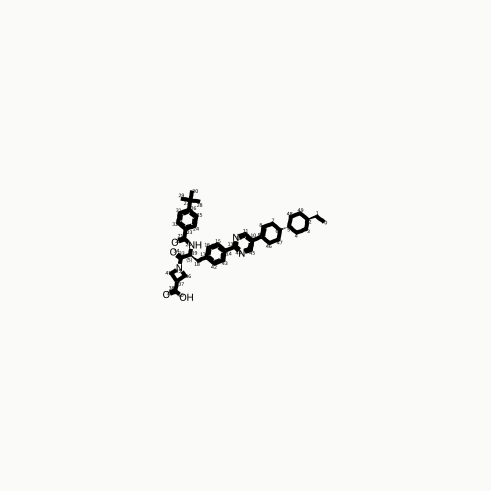 CC[C@H]1CC[C@H](C2CC=C(c3cnc(-c4ccc(C[C@H](NC(=O)c5ccc(C(C)(C)C)cc5)C(=O)N5CC(C(=O)O)C5)cc4)nc3)CC2)CC1